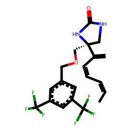 C=C(/C=C\C=C/C)[C@]1(COCc2cc(C(F)(F)F)cc(C(F)(F)F)c2)CNC(=O)N1